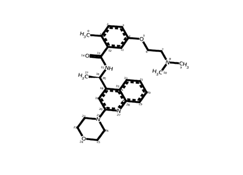 Cc1ccc(OCCN(C)C)cc1C(=O)N[C@H](C)c1cc(N2CCOCC2)nc2ccccc12